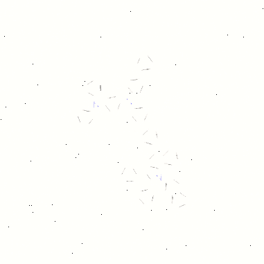 CC1(C)c2cc(-c3cc4c(-c5ccccc5)c(-c5ccccc5)n(-c5ccc6ccccc6c5)c4c4ccccc34)ccc2-c2ccc(N(c3ccc(-c4ccccc4)cc3)c3ccc4c(c3)c3ccccc3n4-c3ccccc3)cc21